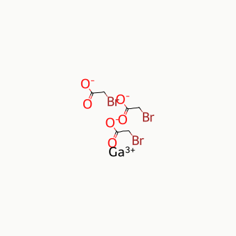 O=C([O-])CBr.O=C([O-])CBr.O=C([O-])CBr.[Ga+3]